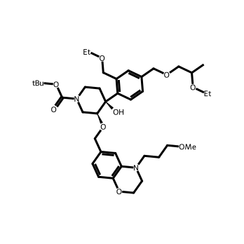 CCOCc1cc(COCC(C)OCC)ccc1[C@@]1(O)CCN(C(=O)OC(C)(C)C)C[C@@H]1OCc1ccc2c(c1)N(CCCOC)CCO2